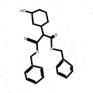 O=C(OCc1ccccc1)C(C(=O)OCc1ccccc1)C1CCCC(O)C1